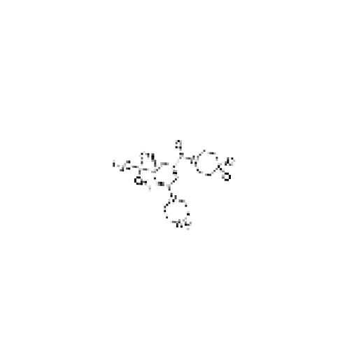 CC(C)(C)c1cc(C(=O)N2CCS(=O)(=O)CC2)cc(N2CCNCC2)c1